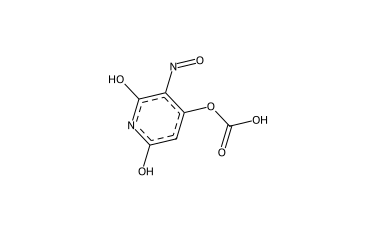 O=Nc1c(OC(=O)O)cc(O)nc1O